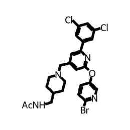 CC(=O)NCC1CCN(Cc2cc(Oc3ccc(Br)nc3)nc(-c3cc(Cl)cc(Cl)c3)c2)CC1